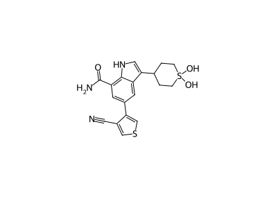 N#Cc1cscc1-c1cc(C(N)=O)c2[nH]cc(C3CCS(O)(O)CC3)c2c1